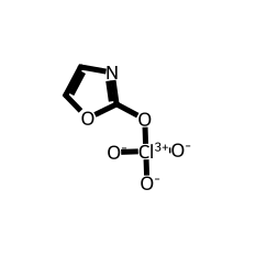 [O-][Cl+3]([O-])([O-])Oc1ncco1